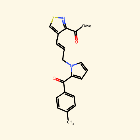 COC(=O)c1nscc1/C=C/Cn1cccc1C(=O)c1ccc(C)cc1